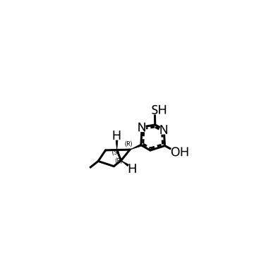 CC1C[C@@H]2[C@H](C1)[C@H]2c1cc(O)nc(S)n1